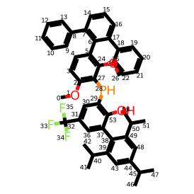 COc1ccc(-c2c(-c3ccccc3)cccc2-c2ccccc2)c(OC)c1Pc1cc(C(F)(F)F)cc(-c2c(C(C)C)cc(C(C)C)cc2C(C)C)c1O